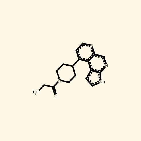 O=C(CC(F)(F)F)N1CCC(c2ccnc3cnc4[nH]ccc4c23)CC1